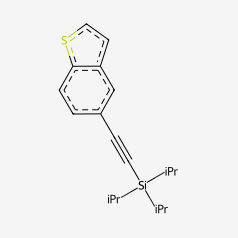 CC(C)[Si](C#Cc1ccc2sccc2c1)(C(C)C)C(C)C